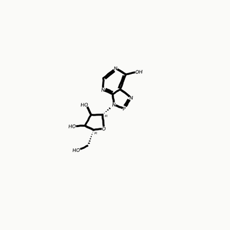 OC[C@H]1O[C@@H](n2pnc3c(O)ncnc32)C(O)C1O